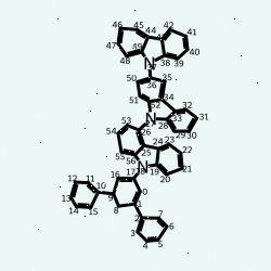 C1=C(c2ccccc2)CC(c2ccccc2)C=C1n1c2ccccc2c2c(-n3c4ccccc4c4cc(-n5c6ccccc6c6ccccc65)ccc43)cccc21